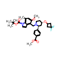 COC(=O)c1ccc([C@@H]2C[C@@H](OC3CC(F)(F)C3)CCN2Cc2c(OC)cc(C)c3c2ccn3C(=O)OC(C)(C)C)cc1